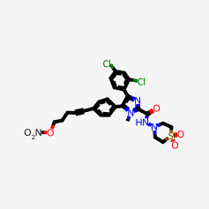 Cn1c(C(=O)NN2CCS(=O)(=O)CC2)nc(-c2ccc(Cl)cc2Cl)c1-c1ccc(C#CCCCO[N+](=O)[O-])cc1